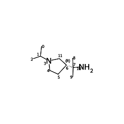 CC(C)N1CC[C@@H](C(C)(C)N)C1